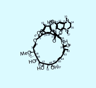 CO[C@H]1/C=C/O[C@@]2(C)Oc3c(C)c(O)c4c(=O)c(c5oc6c7c(cc(O)c6nc-5c4c3C2=O)N(C)CCN7C)NC(=O)/C(C)=C\C=C\[C@H](C)[C@H](O)[C@@H](C)[C@@H](O)[C@@H](C)[C@H](O)[C@@H]1C